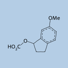 COc1ccc2c(c1)C(OC(=O)O)CC2